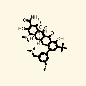 COc1cc(CN(C)C)cc(-c2cc(C(C)(C)C)c(O)c3c2C[C@H]2C[C@H]4[C@H](N(C)C)C(O)=C(C(N)=O)C(=O)[C@@]4(O)C(O)=C2C3=O)c1